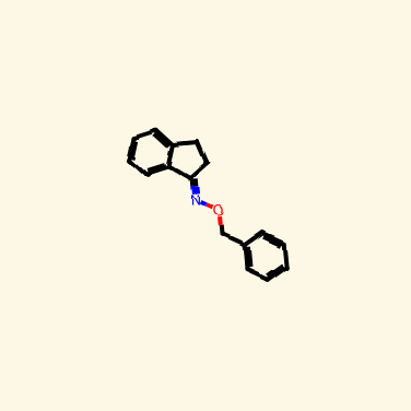 c1ccc(CO/N=C2\CCc3ccccc32)cc1